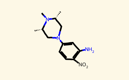 C[C@@H]1CN(c2ccc([N+](=O)[O-])c(N)c2)C[C@H](C)N1C